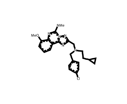 CNc1nc2c(OC)cccc2c2nc(CN(CCC3CC3)Cc3ccc(Cl)cc3)nn12